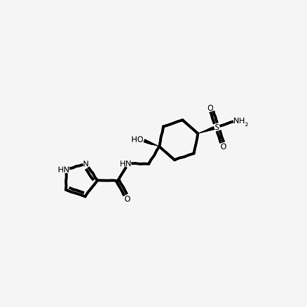 NS(=O)(=O)[C@H]1CC[C@](O)(CNC(=O)c2cc[nH]n2)CC1